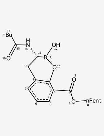 CCCCCOC(=O)c1cccc2c1OB(O)[C@@H](NC(=O)CCCC)C2